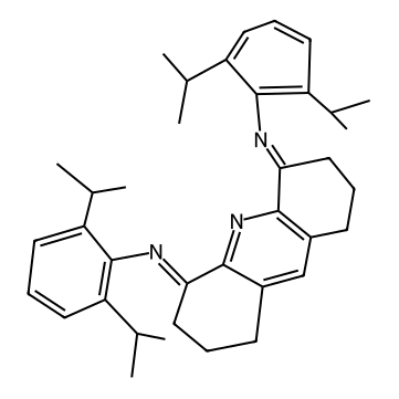 CC(C)c1cccc(C(C)C)c1/N=C1\CCCc2cc3c(nc21)/C(=N/c1c(C(C)C)cccc1C(C)C)CCC3